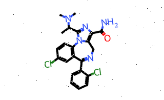 CC(c1nc(C(N)=O)c2n1-c1ccc(Cl)cc1C(c1ccccc1Cl)=NC2)N(C)C